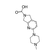 CN1CCN(c2ccc3c(n2)CN(C(=O)O)C3)CC1